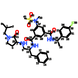 CC(C)CN1CC[C@H](NC[C@H](Cc2ccccc2)NC(=O)c2cc(C(=O)N[C@H](C)c3ccc(F)cc3)cc(N(C)S(C)(=O)=O)c2)C1=O